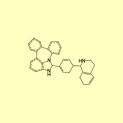 C1=CC2=C(CC1)C(C1C=CC(C3Nc4cccc5c4N3c3ccccc3-c3ccccc3-5)=CC1)NCC2